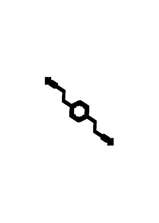 N#CCCc1ccc(CCC#N)cc1